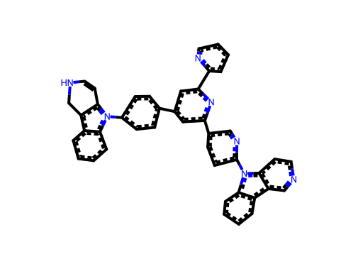 C1=Cc2c(c3ccccc3n2-c2ccc(-c3cc(-c4ccc(-n5c6ccccc6c6cnccc65)nc4)nc(-c4ccccn4)c3)cc2)CN1